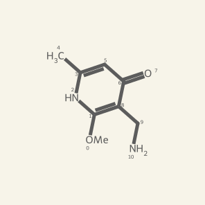 COc1[nH]c(C)cc(=O)c1CN